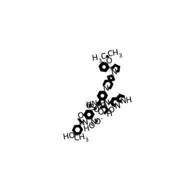 CC(C)Oc1ccccc1[C@@H]1CCCN1C1CC2(CCN(c3ccc(C(=O)NS(=O)(=O)c4cc5c(c([N+](=O)[O-])c4)N[C@@H](C4CCC(C)(O)CC4)CO5)c(N4c5cc6cc[nH]c6nc5O[C@@H]5COC[C@H]54)c3)CC2)C1